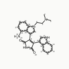 CN(C)CCn1cc(C2=C(c3c[nH]c4ccccc34)C(=O)NC2=O)c2c(N)cccc21